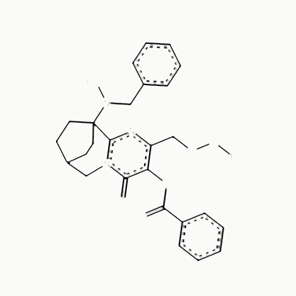 CCOOCc1nc2n(c(=O)c1OC(=O)c1ccccc1)CC1CCC2(N(C)Cc2ccccc2)CC1